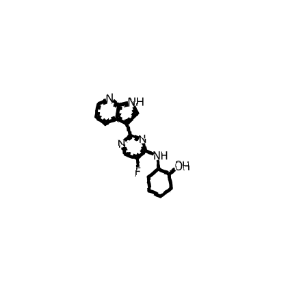 OC1CCCCC1Nc1nc(-c2c[nH]c3ncccc23)ncc1F